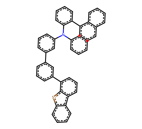 c1ccc(N(c2cccc(-c3cccc(-c4cccc5c4sc4ccccc45)c3)c2)c2ccccc2-c2cccc3ccccc23)cc1